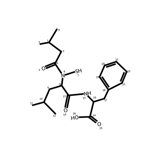 CC(C)CC(=O)N(S)C(CC(C)C)C(=O)NC(Cc1ccccc1)C(=O)O